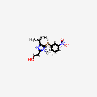 CC(C)c1nc(CCO)n(C)c1Sc1cccc([N+](=O)[O-])c1